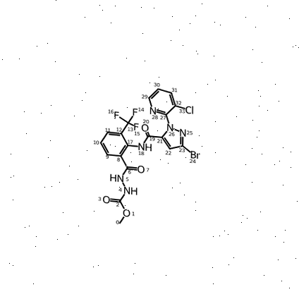 COC(=O)NNC(=O)c1cccc(C(F)(F)F)c1NC(=O)c1cc(Br)nn1-c1ncccc1Cl